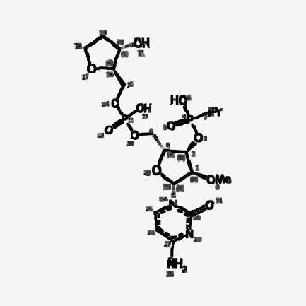 CO[C@@H]1[C@H](OP(=O)(O)C(C)C)[C@@H](COP(=O)(O)OC[C@H]2OCC[C@@H]2O)O[C@H]1n1ccc(N)nc1=O